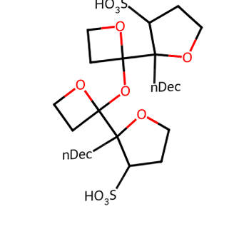 CCCCCCCCCCC1(C2(OC3(C4(CCCCCCCCCC)OCCC4S(=O)(=O)O)CCO3)CCO2)OCCC1S(=O)(=O)O